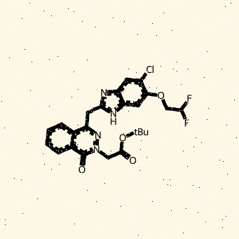 CC(C)(C)OC(=O)Cn1nc(Cc2nc3cc(Cl)c(OCC(F)F)cc3[nH]2)c2ccccc2c1=O